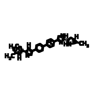 CC[C@H](NC(C)C)c1ncc(-c2ccc(C34CCC(c5c[nH]c([C@@H]6C[C@H]7C(C)C7N6)n5)(CC3)CC4)cc2)[nH]1